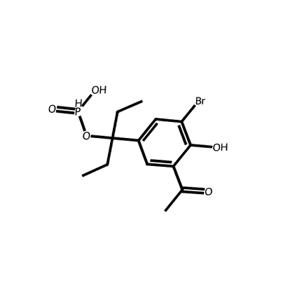 CCC(CC)(O[PH](=O)O)c1cc(Br)c(O)c(C(C)=O)c1